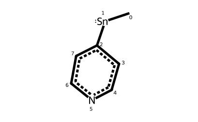 [CH3][Sn][c]1ccncc1